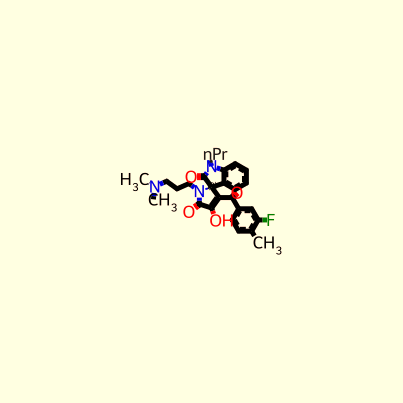 CCCN1C(=O)[C@]2(C(C(=O)c3ccc(C)c(F)c3)=C(O)C(=O)N2CCCN(C)C)c2ccccc21